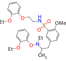 CCOc1ccccc1OCCNS(=O)(=O)c1cc(CC(C)N(CC)Oc2ccccc2OCC)ccc1OC